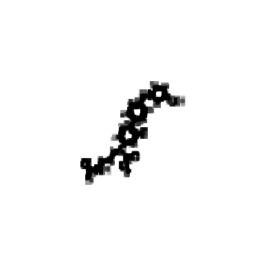 COC(=O)N(CCCNC(C)=O)c1ccc(-c2ccc(CN3CC[C@@H](O)C3)cc2)c(F)c1